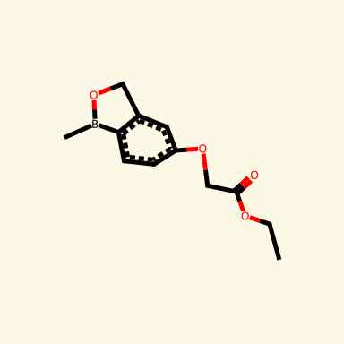 CCOC(=O)COc1ccc2c(c1)COB2C